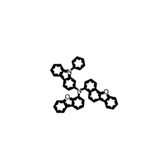 c1ccc(-n2c3ccccc3c3ccc(N(c4cccc5c4ccc4c6ccccc6oc54)c4cccc5c4oc4ccccc45)cc32)cc1